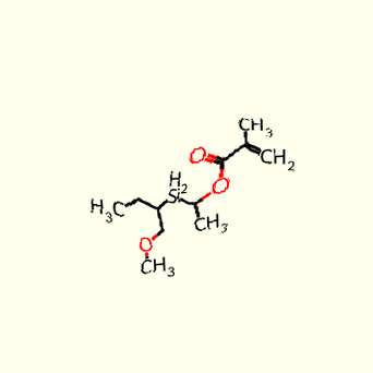 C=C(C)C(=O)OC(C)[SiH2]C(CC)COC